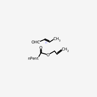 C/C=C/C=O.C=CCOC(=O)CCCCC